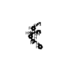 CN(C)CCOc1cc(F)cc(N2c3cccnc3NC2c2n[nH]c3ccc(-c4cncc(CNCc5ccccc5)c4)cc23)c1